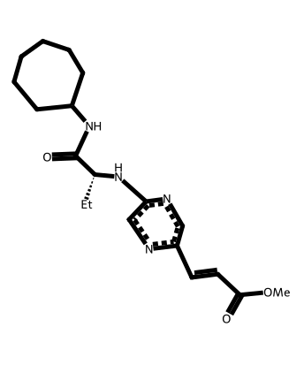 CC[C@@H](Nc1cnc(/C=C/C(=O)OC)cn1)C(=O)NC1CCCCCC1